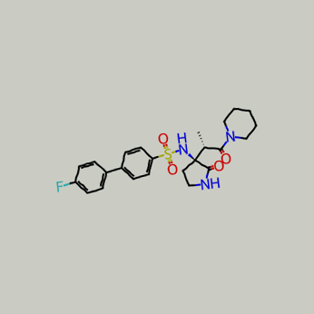 C[C@H](C(=O)N1CCCCC1)[C@@]1(NS(=O)(=O)c2ccc(-c3ccc(F)cc3)cc2)CCNC1=O